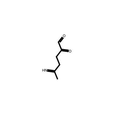 CC(=N)CCC(=O)C=O